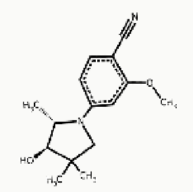 COc1cc(N2CC(C)(C)[C@@H](O)[C@@H]2C)ccc1C#N